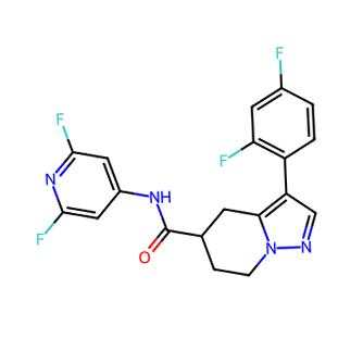 O=C(Nc1cc(F)nc(F)c1)C1CCn2ncc(-c3ccc(F)cc3F)c2C1